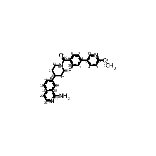 COc1ccc(-c2ccc(C(=O)N3CCC(c4ccc5ccnc(N)c5c4)CC3)c(F)c2)cn1